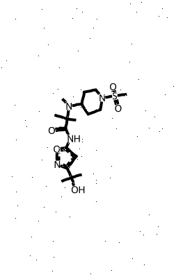 CN(C1CCN(S(C)(=O)=O)CC1)C(C)(C)C(=O)Nc1cc(C(C)(C)O)no1